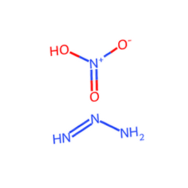 N=NN.O=[N+]([O-])O